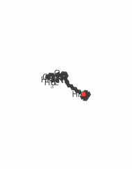 Cc1nc2c(C#CCCCCCCNC34CC5CC(CC(C5)C3)C4)cccc2c(=O)n1C1CCC(=O)NC1=O